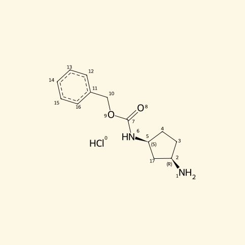 Cl.N[C@@H]1CC[C@H](NC(=O)OCc2ccccc2)C1